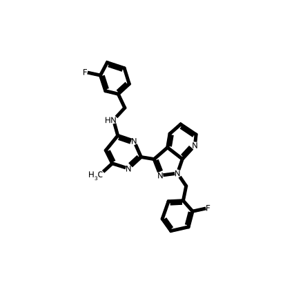 Cc1cc(NCc2cccc(F)c2)nc(-c2nn(Cc3ccccc3F)c3ncccc23)n1